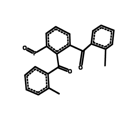 Cc1ccccc1C(=O)c1cccc(P=O)c1C(=O)c1ccccc1C